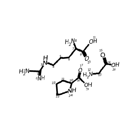 N=C(N)NCCCC(N)C(=O)O.NCC(=O)O.O=C(O)C1CCCN1